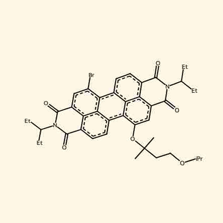 CCC(CC)N1C(=O)c2ccc3c4c(OC(C)(C)CCOC(C)C)cc5c6c(ccc(c7c(Br)cc(c2c37)C1=O)c64)C(=O)N(C(CC)CC)C5=O